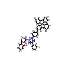 c1ccc(-c2nc(-c3ccc(-c4ccc5c(c4)-c4ccccc4C54c5ccccc5-c5ccccc54)cc3)nc(-c3cccc4c3oc3ccccc34)n2)cc1